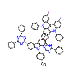 N#Cc1ccc(-n2c3ccc(-c4cc5c6c(c4)N(c4ccccc4)c4ccc(I)cc4B6c4cc(I)ccc4N5c4ccccc4)cc3c3cc(-c4nc(-c5ccccc5)nc(-c5ccccc5)n4)ccc32)c(-c2nc(-c3ccccc3)nc(-c3ccccc3)n2)c1